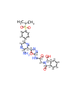 CC(C)S(=O)(=O)c1ccc(-c2cnc(N)c(-c3nnc(NC(=O)CN4C(=O)c5ccccc5C4O)o3)n2)cc1